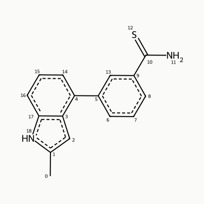 Cc1cc2c(-c3cccc(C(N)=S)c3)cccc2[nH]1